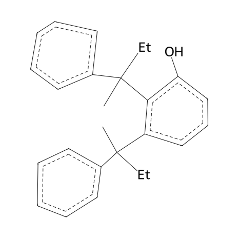 CCC(C)(c1ccccc1)c1cccc(O)c1C(C)(CC)c1ccccc1